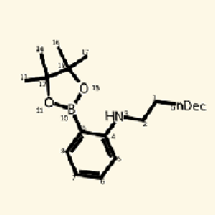 CCCCCCCCCCCCNc1ccccc1B1OC(C)(C)C(C)(C)O1